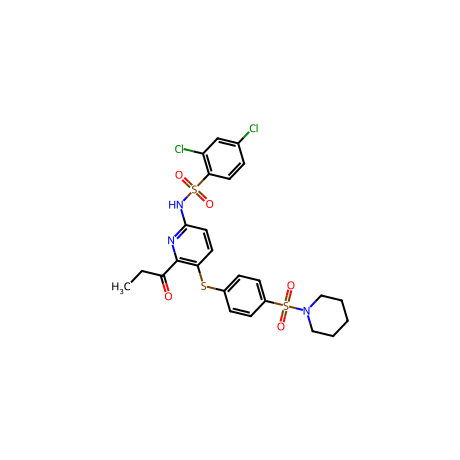 CCC(=O)c1nc(NS(=O)(=O)c2ccc(Cl)cc2Cl)ccc1Sc1ccc(S(=O)(=O)N2CCCCC2)cc1